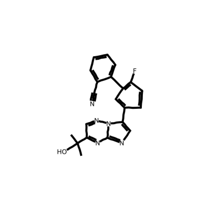 CC(C)(O)c1cnn2c(-c3ccc(F)c(-c4ccccc4C#N)c3)cnc2n1